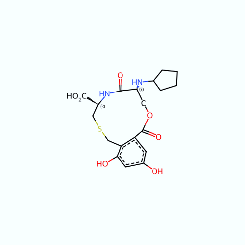 O=C1OC[C@H](NC2CCCC2)C(=O)N[C@H](C(=O)O)CSCc2c(O)cc(O)cc21